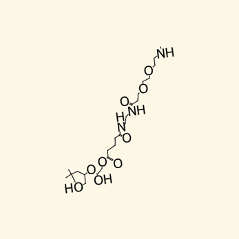 CNCCOCCOCCC(=O)NCCNC(=O)CCCC(=O)OCC(O)OC(CO)CC(C)(C)C